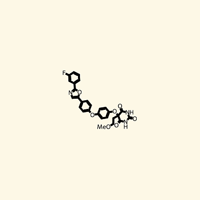 COCCC1(Oc2ccc(Oc3ccc(-c4cnc(-c5cccc(F)c5)o4)cc3)cc2)C(=O)NC(=O)NC1=O